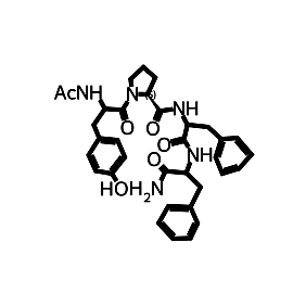 CC(=O)NC(Cc1ccc(O)cc1)C(=O)N1CCC[C@H]1C(=O)NC(Cc1ccccc1)C(=O)NC(Cc1ccccc1)C(N)=O